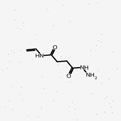 C=CNC(=O)CCC(=O)NN